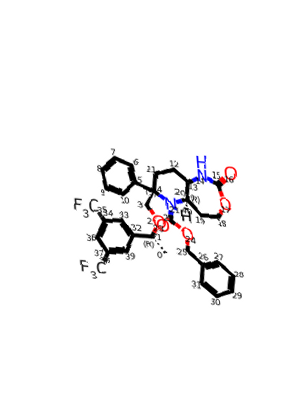 C[C@@H](OC[C@@]1(c2ccccc2)CCC2NC(=O)OCC[C@H]2N1C(=O)OCc1ccccc1)c1cc(C(F)(F)F)cc(C(F)(F)F)c1